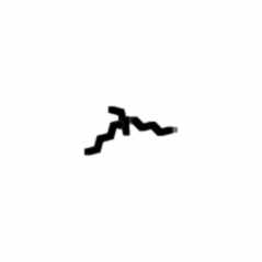 [CH2]CCCC[N+](C)(CC)CCCCC